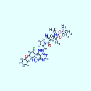 CCN(C(=O)OC(C)(C)C)C(C)(C)C=C(C#N)C(=O)N1CCC[C@@H]1Cn1nc(-c2ccc(Oc3ccccc3)cc2F)c2c(N)ncnc21